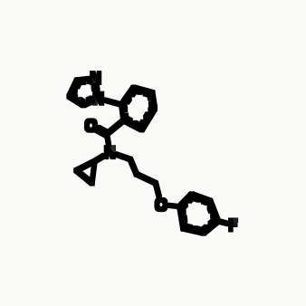 O=C(c1ccccc1-n1cccn1)N(CCCOc1ccc(F)cc1)C1CC1